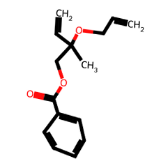 C=CCOC(C)(C=C)COC(=O)c1ccccc1